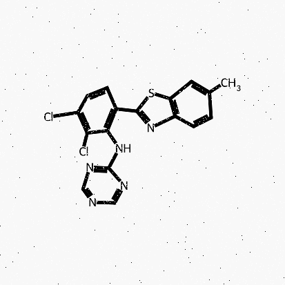 Cc1ccc2nc(-c3ccc(Cl)c(Cl)c3Nc3ncncn3)sc2c1